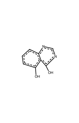 Oc1cccc2n[c]nc(O)c12